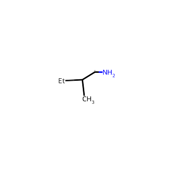 [CH2]CC(C)[CH]N